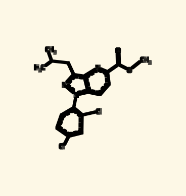 COC(=O)c1ccc2c(n1)c(CC(C)C)nn2-c1ccc(Cl)cc1Cl